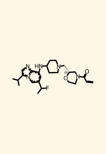 C=CC(=O)N1CCO[C@H](CN2CCC(Nc3cc(C(C)F)cn4c(C(C)C)cnc34)CC2)C1